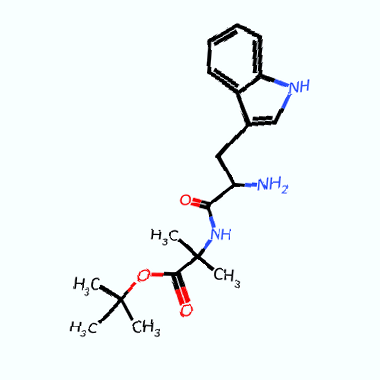 CC(C)(C)OC(=O)C(C)(C)NC(=O)C(N)Cc1c[nH]c2ccccc12